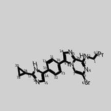 CC(C)CNc1nc(Br)cn2c(-c3ccc(-c4cnc(C5CC5)[nH]4)cc3)cnc12